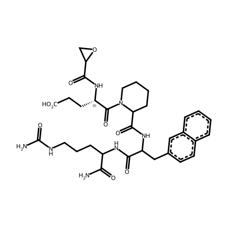 NC(=O)NCCCC(NC(=O)C(Cc1ccc2ccccc2c1)NC(=O)C1CCCCN1C(=O)[C@H](CCC(=O)O)NC(=O)C1CO1)C(N)=O